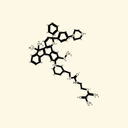 C=C(OCCNC(=O)OCC1CCCN(c2cc3c4c(c5c(c3cc2OC)O[C@](c2ccccc2)(c2ccc(N3CCOCC3)cc2)C=C5)C(C)(C)c2ccccc2-4)C1)C(C)=O